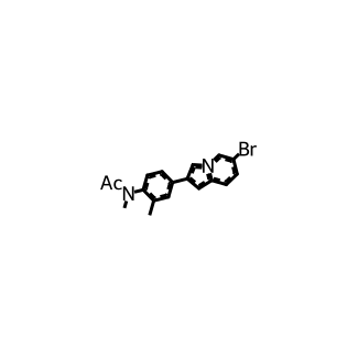 CC(=O)N(C)c1ccc(-c2cc3ccc(Br)cn3c2)cc1C